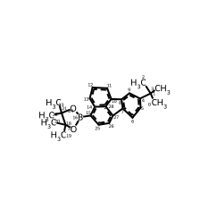 CC(C)(C)c1ccc2c(c1)-c1cccc3c(B4OC(C)(C)C(C)(C)O4)ccc-2c13